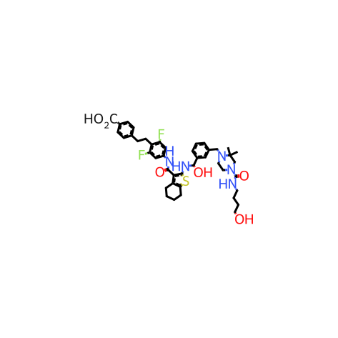 CC1(C)CN(C(=O)NCCCCO)CCN1Cc1cccc(C(O)Nc2sc3c(c2C(=O)Nc2cc(F)c(CCc4ccc(C(=O)O)cc4)c(F)c2)CCCC3)c1